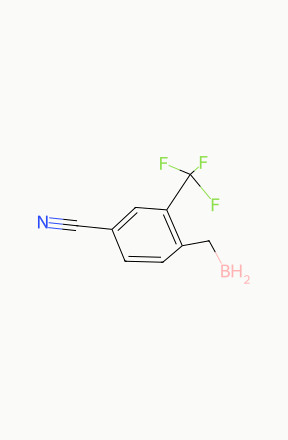 BCc1ccc(C#N)cc1C(F)(F)F